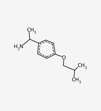 CC(C)COc1ccc(C(C)N)cc1